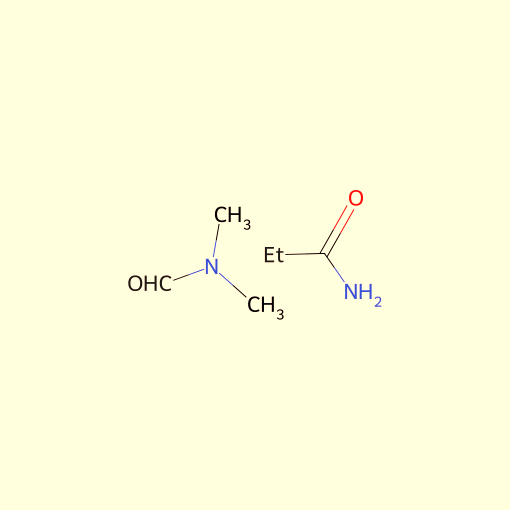 CCC(N)=O.CN(C)C=O